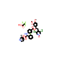 COc1ccc(C(Cc2c(Cl)c[n+]([O-])cc2Cl)OC(=O)c2ccc(NC(C(=O)O[C@H]3CN4CCC3CC4)c3ccccc3F)cc2)cc1OC.O=C(O)C(F)(F)F